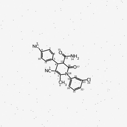 CC1=C(C#N)C(c2ccc(C#N)cc2)C(C(N)=O)C(=O)N1c1cccc(Cl)c1